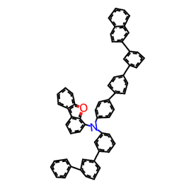 c1ccc(-c2cccc(-c3cccc(N(c4ccc(-c5ccc(-c6cccc(-c7ccc8ccccc8c7)c6)cc5)cc4)c4cccc5c4oc4ccccc45)c3)c2)cc1